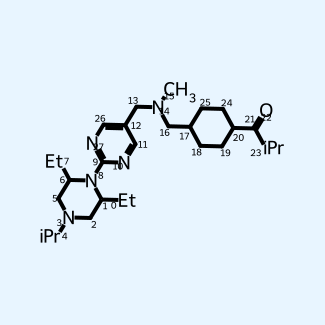 CCC1CN(C(C)C)CC(CC)N1c1ncc(CN(C)CC2CCC(C(=O)C(C)C)CC2)cn1